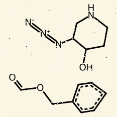 O=COCc1ccccc1.[N-]=[N+]=NC1CNCCC1O